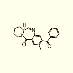 Cc1cc2c(cc1C(=O)c1ccccc1)N=C[C@@H]1CCCCN1C2=O